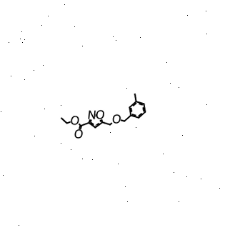 CCOC(=O)c1cc(COCc2cccc(C)c2)on1